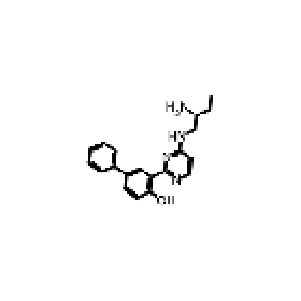 CC[C@H](N)CNc1ccnc(-c2cc(-c3ccccc3)ccc2O)n1